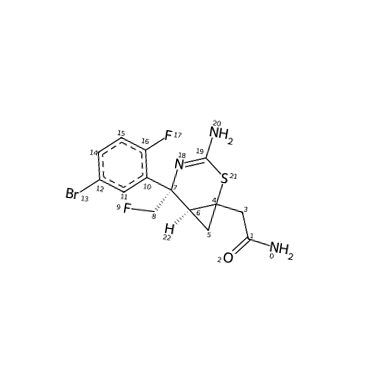 NC(=O)CC12C[C@H]1[C@@](CF)(c1cc(Br)ccc1F)N=C(N)S2